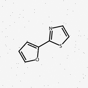 [c]1ccoc1-c1nccs1